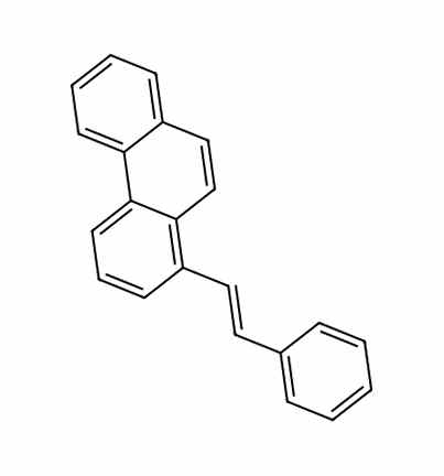 C(=Cc1cccc2c1ccc1ccccc12)c1ccccc1